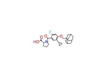 O=C(O)[C@@H]1CCCN1C(=O)c1cc(C2CC2)c(OCC23CC4CC(CC(C4)C2)C3)cc1F